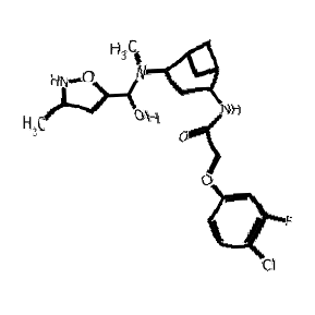 CC1CC(C(O)N(C)C2CC(NC(=O)COc3ccc(Cl)c(F)c3)C3CC2C3)ON1